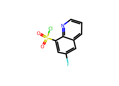 O=S(=O)(Cl)c1cc(F)cc2cccnc12